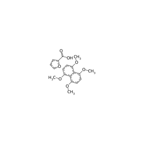 COc1ccc(OC)c2c(OC)ccc(OC)c12.O=C(O)c1ccco1